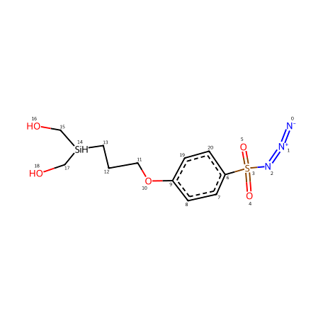 [N-]=[N+]=NS(=O)(=O)c1ccc(OCCC[SiH](CO)CO)cc1